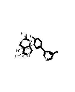 CC[C@H]1OC[C@]2(c3cc(-c4cncc(C)c4)ccc3F)N=C(N)SC[C@H]12